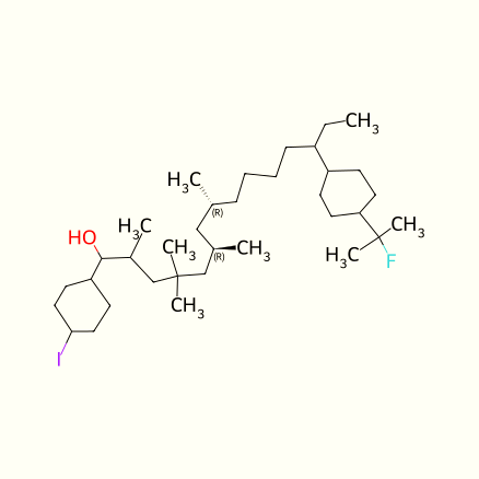 CCC(CCCC[C@@H](C)C[C@@H](C)CC(C)(C)CC(C)C(O)C1CCC(I)CC1)C1CCC(C(C)(C)F)CC1